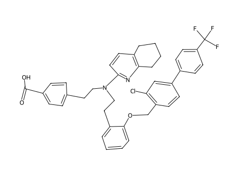 O=C(O)c1ccc(CCN(CCc2ccccc2OCc2ccc(-c3ccc(C(F)(F)F)cc3)cc2Cl)c2ccc3c(n2)CCCC3)cc1